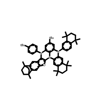 CC(C)(C)c1ccc(N2c3cc(C(C)(C)C)cc4c3B(c3cc5c(cc3N4c3ccc4c(c3)C(C)(C)CCC4(C)C)C(C)(C)CCC5(C)C)c3oc4cc5c(cc4c32)C2(C)CCC5(C)CC2)cc1